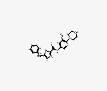 O=C(Nc1cnc(N2CCOCC2)c(Cl)c1)c1nnc(Nc2ccccc2)o1